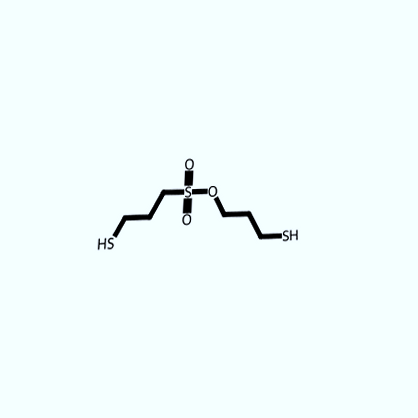 O=S(=O)(CCCS)OCCCS